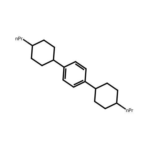 CCCC1CCC(c2ccc(C3CCC(CCC)CC3)cc2)CC1